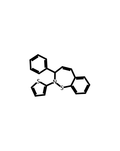 C1=CC(c2ccccc2)N(c2cccs2)Sc2ccccc21